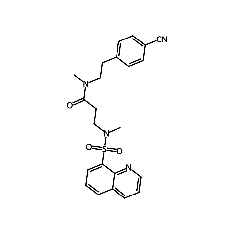 CN(CCc1ccc(C#N)cc1)C(=O)CCN(C)S(=O)(=O)c1cccc2cccnc12